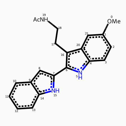 COc1ccc2[nH]c(-c3cc4ccccc4[nH]3)c(CCNC(C)=O)c2c1